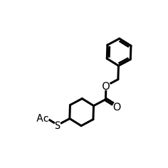 CC(=O)SC1CCC(C(=O)OCc2ccccc2)CC1